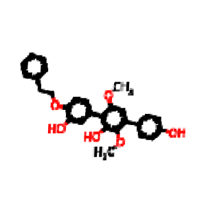 COc1cc(-c2ccc(O)cc2)c(OC)c(O)c1-c1ccc(OCCc2ccccc2)c(O)c1